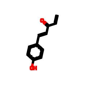 C=CC(=O)/C=C/c1ccc(O)cc1